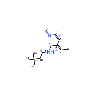 C=N/C=C\C(=C/C)CNCCC(C)(C)C